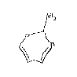 NC1N=CC=CO1